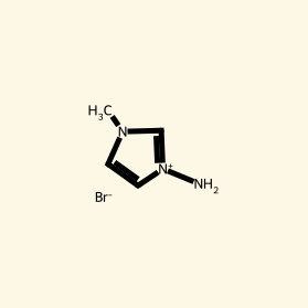 Cn1cc[n+](N)c1.[Br-]